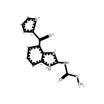 COC(=O)Nc1nc2c(C(=O)c3cccs3)cccc2[nH]1